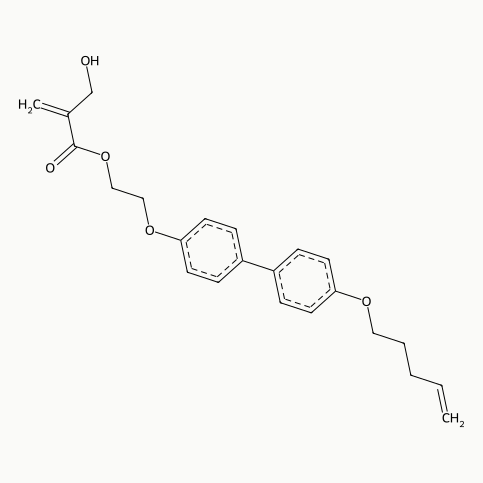 C=CCCCOc1ccc(-c2ccc(OCCOC(=O)C(=C)CO)cc2)cc1